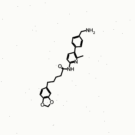 Cc1nc(NC(=O)CCCCc2ccc3c(c2)OCO3)ccc1-c1ccc(CN)cc1